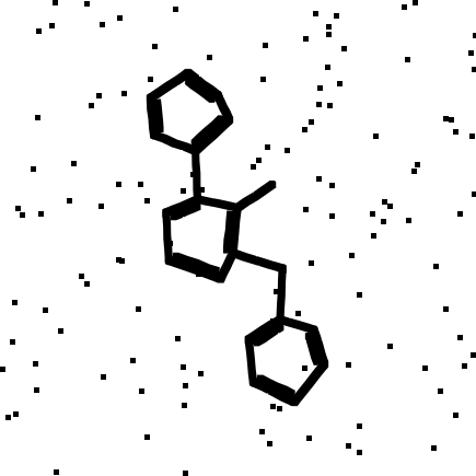 Cc1c(Cc2ccccc2)cccc1-c1ccccc1